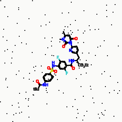 CCOC(=O)[C@H](Cc1ccc(-n2c(=O)cc(C)n(C)c2=O)nc1)NC(=O)c1cc(F)c(NS(=O)(=O)c2ccc(NC(=O)C(C)(C)C)cc2)cc1F